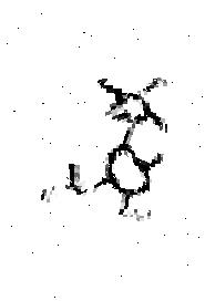 Cc1nn(-c2cc(O[C@@H](C)C(F)(F)F)c(C(=O)O)cc2F)c(=O)n1C(C)C